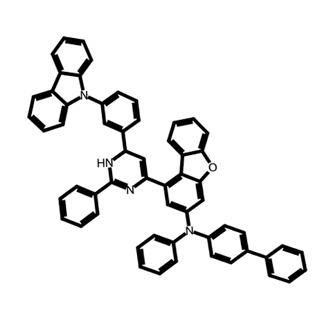 C1=C(c2cc(N(c3ccccc3)c3ccc(-c4ccccc4)cc3)cc3oc4ccccc4c23)N=C(c2ccccc2)NC1c1cccc(-n2c3ccccc3c3ccccc32)c1